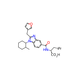 CC(C)C[C@H](NC(=O)c1ccc2c(c1)nc(Cc1ccoc1)n2C1CCCCC1C)C(=O)O